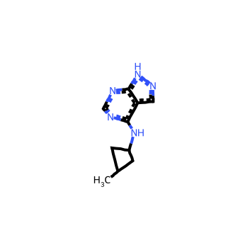 CC1CC(Nc2ncnc3[nH]ncc23)C1